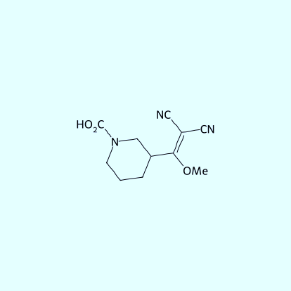 COC(=C(C#N)C#N)C1CCCN(C(=O)O)C1